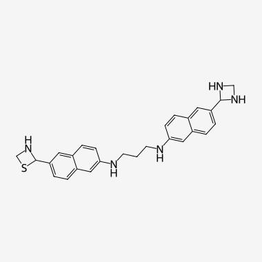 c1cc2cc(C3NCN3)ccc2cc1NCCCNc1ccc2cc(C3NCS3)ccc2c1